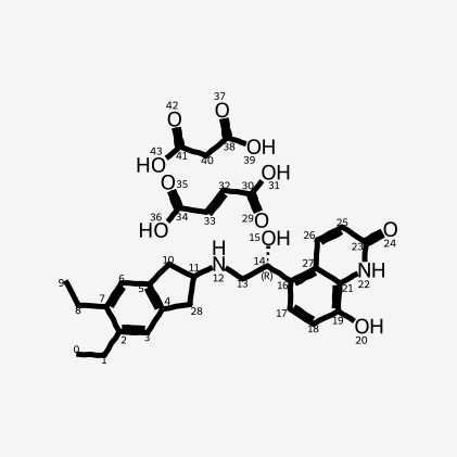 CCc1cc2c(cc1CC)CC(NC[C@H](O)c1ccc(O)c3[nH]c(=O)ccc13)C2.O=C(O)C=CC(=O)O.O=C(O)CC(=O)O